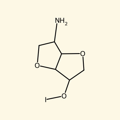 NC1COC2C(OI)COC12